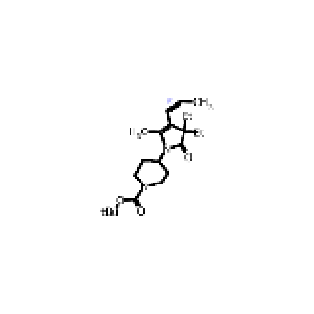 C/C=C\C1=C(C)N(C2CCN(C(=O)OC(C)(C)C)CC2)C(=O)C1(CC)CC